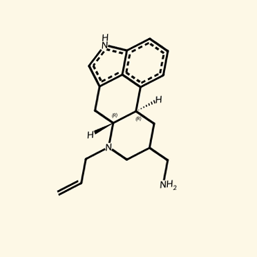 C=CCN1CC(CN)C[C@@H]2c3cccc4[nH]cc(c34)C[C@H]21